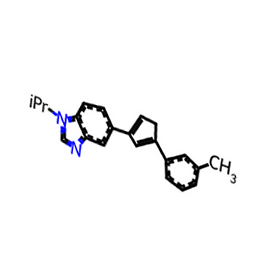 Cc1cccc(C2=CC(c3ccc4c(c3)ncn4C(C)C)=CC2)c1